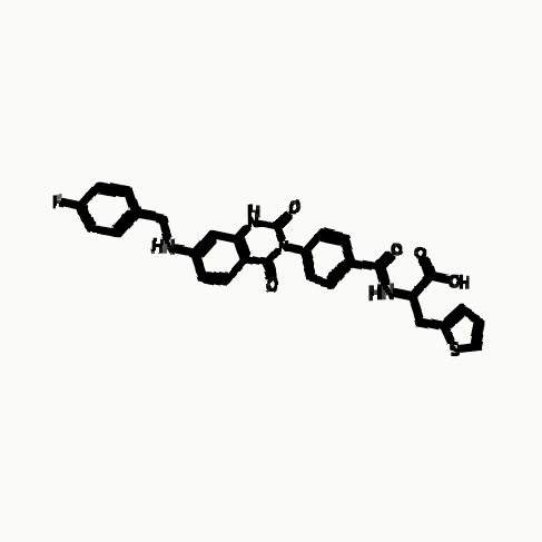 O=C(NC(Cc1cccs1)C(=O)O)c1ccc(-n2c(=O)[nH]c3cc(NCc4ccc(F)cc4)ccc3c2=O)cc1